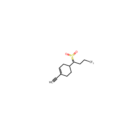 C#CC1=CCC(C(CCC(F)(F)F)=S(=O)=O)CC1